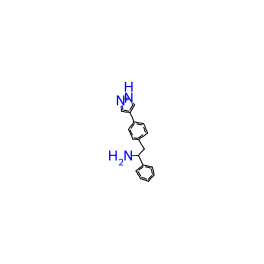 NC(Cc1ccc(-c2cn[nH]c2)cc1)c1ccccc1